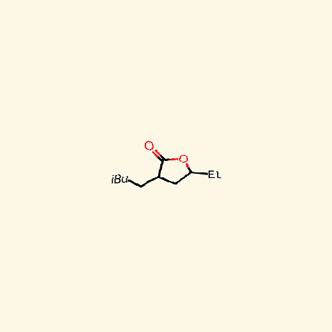 CCC(C)CC1CC(CC)OC1=O